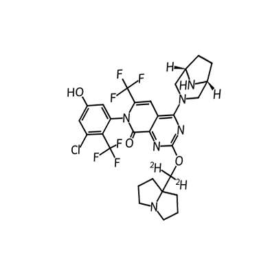 [2H]C([2H])(Oc1nc(N2C[C@H]3CC[C@@H](C2)N3)c2cc(C(F)(F)F)n(-c3cc(O)cc(Cl)c3C(F)(F)F)c(=O)c2n1)C12CCCN1CCC2